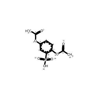 CC(=O)Oc1ccc(OC(C)=O)c(S(=O)(=O)O)c1